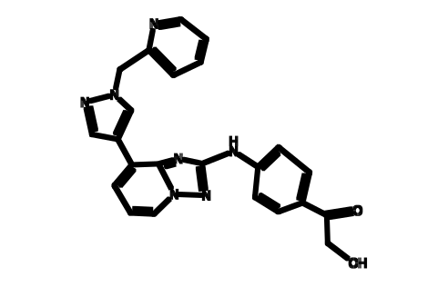 O=C(CO)c1ccc(Nc2nc3c(-c4cnn(Cc5ccccn5)c4)cccn3n2)cc1